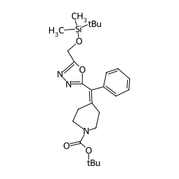 CC(C)(C)OC(=O)N1CCC(=C(c2ccccc2)c2nnc(CO[Si](C)(C)C(C)(C)C)o2)CC1